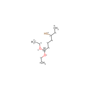 CCO[SiH](CCCC(S)CC)OCC